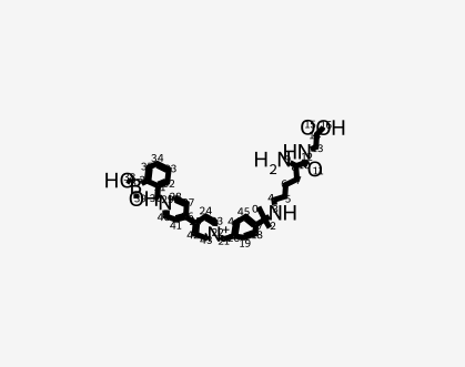 CC(C)(NCCCCC(N)C(=O)NCC(=O)O)c1ccc(C[n+]2ccc(-c3cc[n+](Cc4ccccc4B(O)O)cc3)cc2)cc1